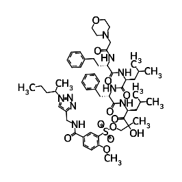 CCCC(C)n1cc(CNC(=O)c2ccc(OC)c(S(=O)(=O)OCC(C)(O)C(=O)[C@H](CC(C)C)NC(=O)[C@H](Cc3ccccc3)NC(=O)[C@H](CC(C)C)NC(=O)[C@H](CCc3ccccc3)NC(=O)CN3CCOCC3)c2)nn1